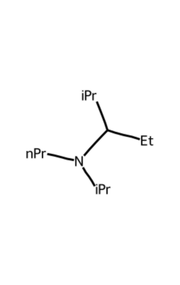 CCCN(C(C)C)C(CC)C(C)C